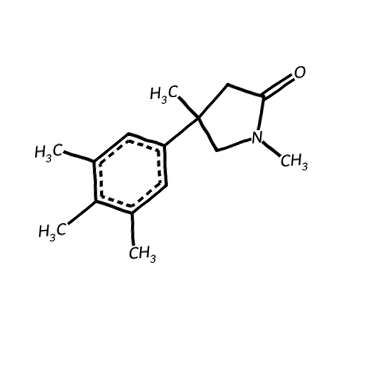 Cc1cc(C2(C)CC(=O)N(C)C2)cc(C)c1C